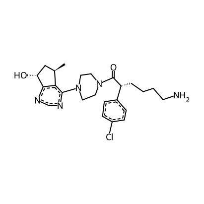 C[C@@H]1C[C@@H](O)c2ncnc(N3CCN(C(=O)[C@H](CCCCN)c4ccc(Cl)cc4)CC3)c21